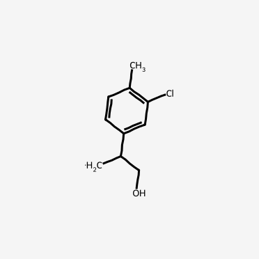 [CH2]C(CO)c1ccc(C)c(Cl)c1